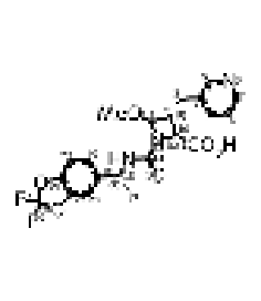 COC1[C@H](Cc2cccnc2)[C@@H](C(=O)O)N1C(=O)N[C@H](C)c1ccc2c(c1)OC(F)(F)O2